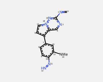 C=Nc1ncc2c(-c3ccc(N=N)c(NC)c3)ccn2n1